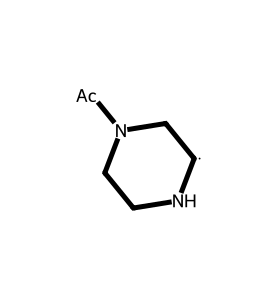 CC(=O)N1C[CH]NCC1